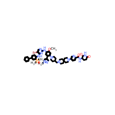 COc1cc(N2CCC(CN3CCC4(CC3)CCN(c3ccc(C(=O)NC5CCC(=O)NC5=O)nc3)CC4)CC2)c(-c2cnn(C)c2)cc1Nc1ncc(Br)c(Nc2ccc(-c3ccccc3)cc2P(C)(C)=O)n1